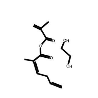 C=CCC=C(C)C(=O)OC(=O)C(=C)C.OCCO